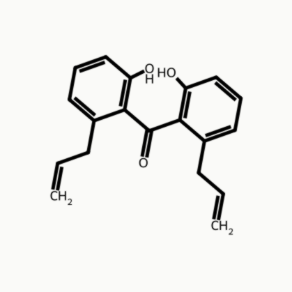 C=CCc1cccc(O)c1C(=O)c1c(O)cccc1CC=C